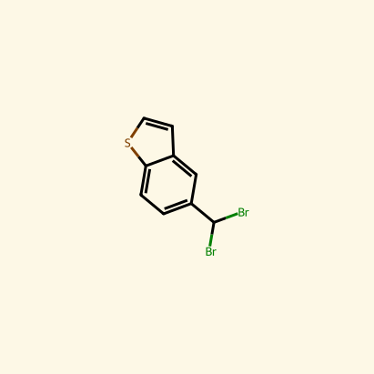 BrC(Br)c1ccc2sccc2c1